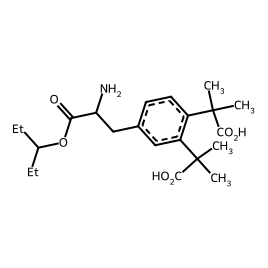 CCC(CC)OC(=O)C(N)Cc1ccc(C(C)(C)C(=O)O)c(C(C)(C)C(=O)O)c1